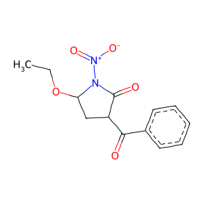 CCOC1CC(C(=O)c2ccccc2)C(=O)N1[N+](=O)[O-]